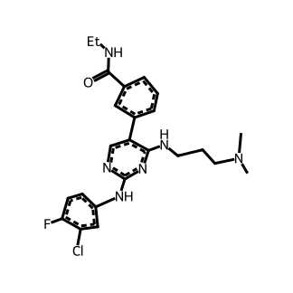 CCNC(=O)c1cccc(-c2cnc(Nc3ccc(F)c(Cl)c3)nc2NCCCN(C)C)c1